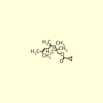 CC(C)=CC[C@@H](C)[C@H](C)C(C)(C)COC(=O)C1CC1